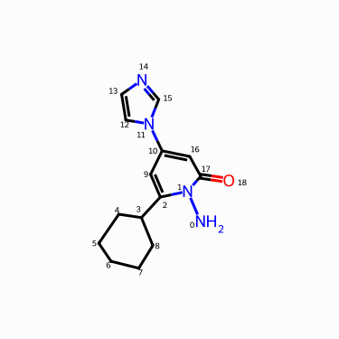 Nn1c(C2CCCCC2)cc(-n2ccnc2)cc1=O